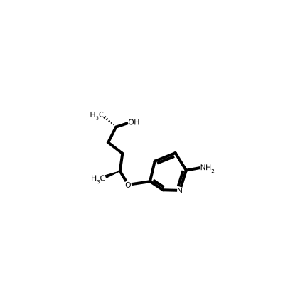 C[C@H](O)CC[C@H](C)Oc1ccc(N)nc1